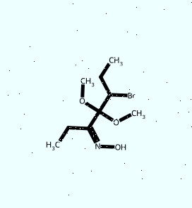 CCC(=NO)C(OC)(OC)C(Br)CC